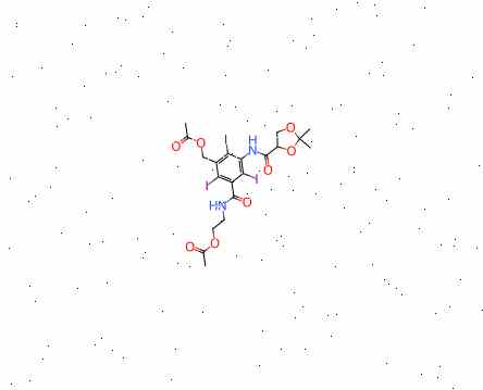 CC(=O)OCCNC(=O)c1c(I)c(COC(C)=O)c(I)c(NC(=O)C2COC(C)(C)O2)c1I